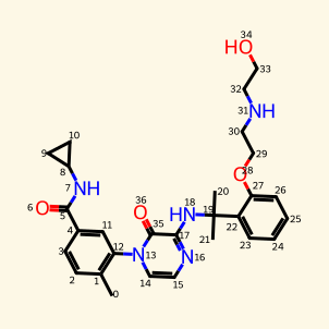 Cc1ccc(C(=O)NC2CC2)cc1-n1ccnc(NC(C)(C)c2ccccc2OCCNCCO)c1=O